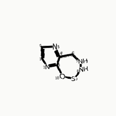 c1cnc2c(n1)CNNSO2